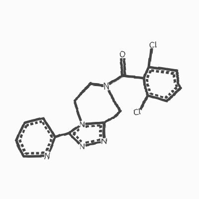 O=C(c1c(Cl)cccc1Cl)N1CCn2c(nnc2-c2ccccn2)C1